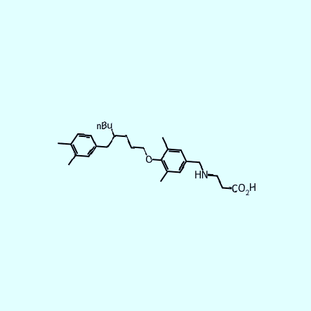 CCCCC(CCCOc1c(C)cc(CNCCC(=O)O)cc1C)Cc1ccc(C)c(C)c1